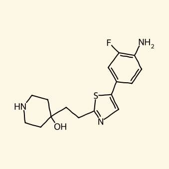 Nc1ccc(-c2cnc(CCC3(O)CCNCC3)s2)cc1F